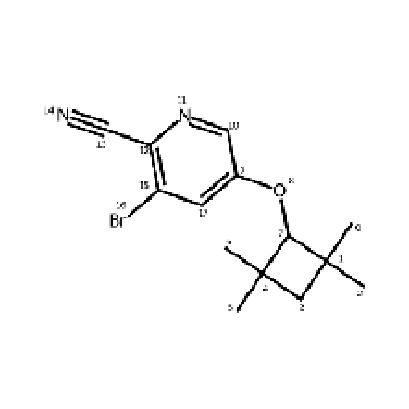 CC1(C)CC(C)(C)C1Oc1cnc(C#N)c(Br)c1